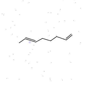 C=CCCC/C=C/C